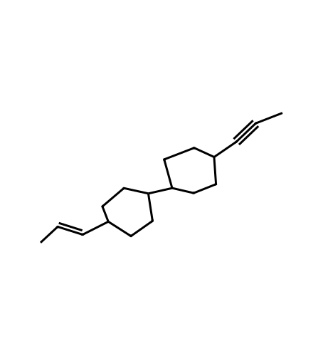 CC#CC1CCC(C2CCC(/C=C/C)CC2)CC1